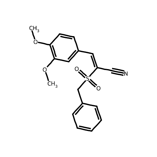 COc1ccc(C=C(C#N)S(=O)(=O)Cc2ccccc2)cc1OC